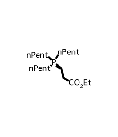 CCCCCP(=CCC(=O)OCC)(CCCCC)CCCCC